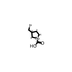 O=C(O)N1CCC(CI)C1